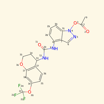 CC(=O)On1ncc2c(NC(=O)NC3CCOc4cc(OC(F)(F)F)ccc43)cccc21